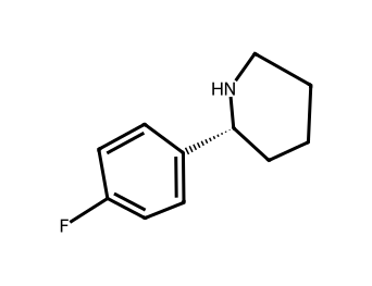 Fc1ccc([C@H]2CCCCN2)cc1